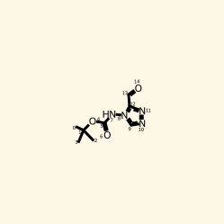 CC(C)(C)OC(=O)Nn1cnnc1C=O